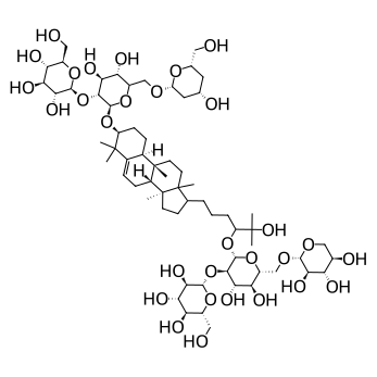 CC(C)(O)C(CCCC1CC[C@@]2(C)[C@@H]3CC=C4[C@@H](CC[C@H](O[C@@H]5OC(CO[C@H]6C[C@@H](O)C[C@@H](CO)O6)[C@@H](O)[C@H](O)[C@H]5O[C@@H]5O[C@H](CO)[C@@H](O)[C@H](O)[C@H]5O)C4(C)C)[C@]3(C)CCC12C)O[C@@H]1O[C@H](CO[C@@H]2OC[C@@H](O)[C@H](O)[C@H]2O)[C@@H](O)[C@H](O)[C@H]1O[C@@H]1O[C@H](CO)[C@@H](O)[C@H](O)[C@H]1O